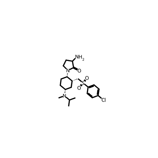 CC(C)N(C)[C@@H]1CC[C@H](N2CCC(N)C2=O)[C@H](CS(=O)(=O)c2ccc(Cl)cc2)C1